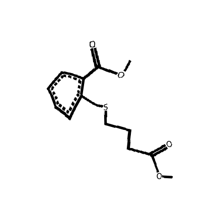 COC(=O)CCCSc1ccccc1C(=O)OC